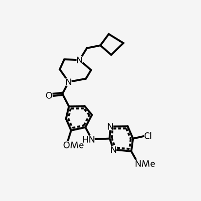 CNc1nc(Nc2ccc(C(=O)N3CCN(CC4CCC4)CC3)cc2OC)ncc1Cl